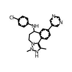 CC1=C2c3ccc(-c4cncnc4)cc3C(Nc3ccc(Cl)cc3)CCN2N(C)N1